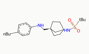 CCCCc1ccc(NC[C@]23CC[C@](NS(=O)(=O)C(C)(C)C)(CC2)C3)cc1